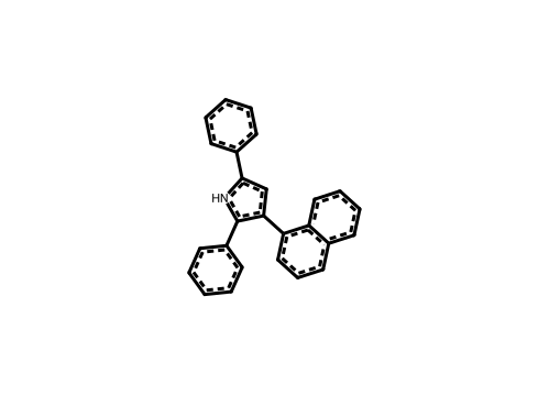 c1ccc(-c2cc(-c3cccc4ccccc34)c(-c3ccccc3)[nH]2)cc1